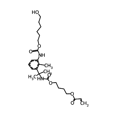 C=CC(=O)OCCCCOC(=O)NC(C)(C)c1cccc(NC(=O)OCCCCCCO)c1C